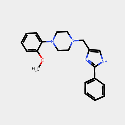 COc1ccccc1N1CCN(Cc2c[nH]c(-c3ccccc3)n2)CC1